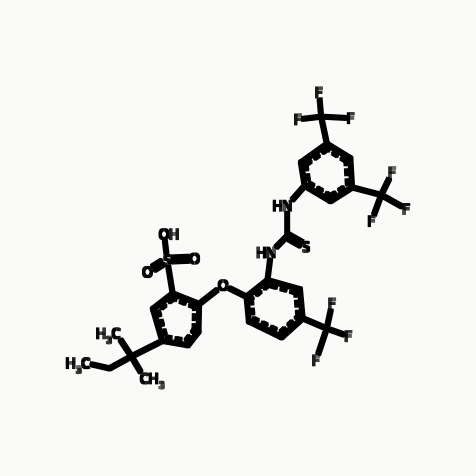 CCC(C)(C)c1ccc(Oc2ccc(C(F)(F)F)cc2NC(=S)Nc2cc(C(F)(F)F)cc(C(F)(F)F)c2)c(S(=O)(=O)O)c1